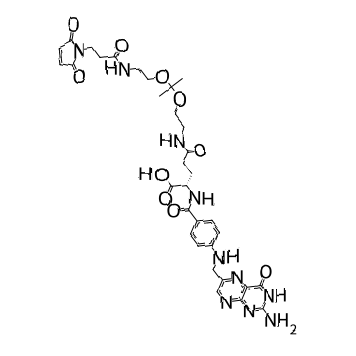 CC(C)(OCCNC(=O)CC[C@H](NC(=O)c1ccc(NCc2cnc3nc(N)[nH]c(=O)c3n2)cc1)C(=O)O)OCCNC(=O)CCN1C(=O)C=CC1=O